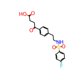 O=C(O)CCC(=O)c1ccc(CCNS(=O)(=O)c2ccc(F)cc2)cc1